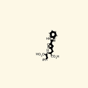 CC(C)C[C@H](N[C@@H](Cc1cc(-c2nc3ccccc3[nH]2)on1)C(=O)O)C(=O)O